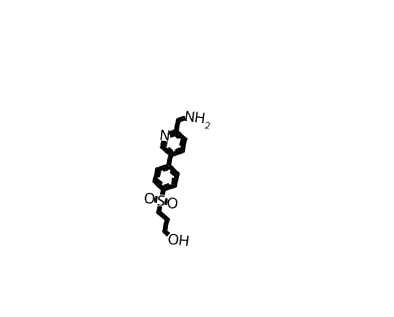 NCc1ccc(-c2ccc(S(=O)(=O)CCCO)cc2)cn1